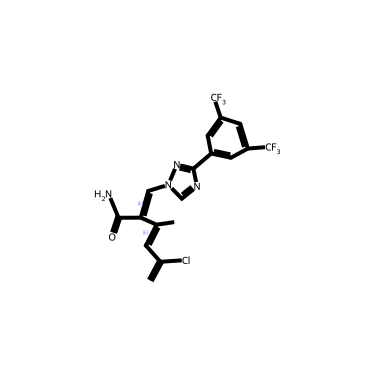 C=C(Cl)/C=C(C)/C(=C\n1cnc(-c2cc(C(F)(F)F)cc(C(F)(F)F)c2)n1)C(N)=O